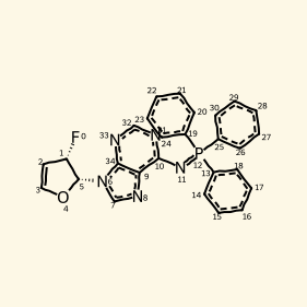 F[C@H]1C=CO[C@H]1n1cnc2c(N=P(c3ccccc3)(c3ccccc3)c3ccccc3)ncnc21